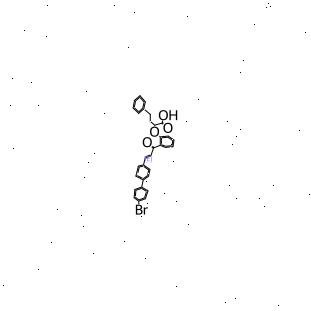 O=C(/C=C/c1ccc(-c2ccc(Br)cc2)cc1)c1ccccc1OC(CCc1ccccc1)C(=O)O